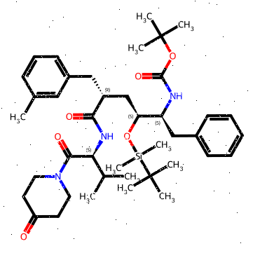 Cc1cccc(C[C@H](C[C@H](O[Si](C)(C)C(C)(C)C)[C@H](Cc2ccccc2)NC(=O)OC(C)(C)C)C(=O)N[C@H](C(=O)N2CCC(=O)CC2)C(C)C)c1